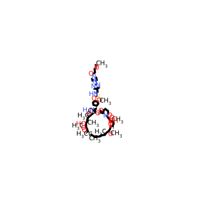 CCOCCC(=O)N1CCN(c2ncc(CNC(=S)O[C@@H]3CC[C@@H](C[C@@H](N)[C@@H]4C[C@@H](OC)[C@H](C)/C=C(\C)[C@@H](O)[C@@H](OC)C(=O)[C@H](C)C[C@H](C)/C=C/C=C/C=C(\C)[C@@H](OC)C[C@@H]5CC[C@@H](C)[C@@](O)(O5)C(=O)C(=O)N5CCCC[C@H]5C(=O)O4)C[C@H]3OC)cn2)CC1